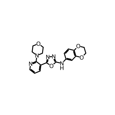 c1cnc(N2CCOCC2)c(-c2nnc(Nc3ccc4c(c3)OCCO4)o2)c1